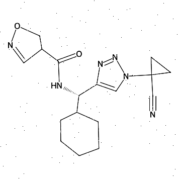 N#CC1(n2cc([C@@H](NC(=O)C3C=NOC3)C3CCCCC3)nn2)CC1